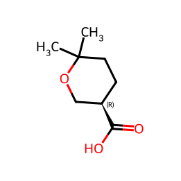 CC1(C)CC[C@@H](C(=O)O)CO1